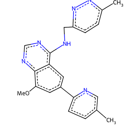 COc1cc(-c2ccc(C)cn2)cc2c(NCc3ccc(C)nn3)ncnc12